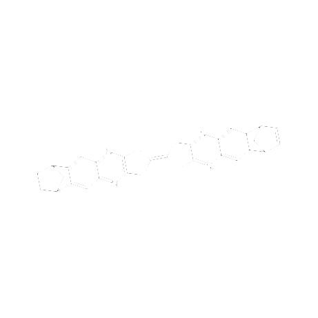 C1=CC2CC1C1C=c3nc4c(nc3=CC21)SC(=C1Sc2nc3cc5c(cc3nc2S1)C1CCC5C1)S4